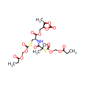 CCC(=O)OCOC(=O)SC[C@H](NC(=O)C(C)(C)SC(=O)OCOC(=O)CC)C(=O)OCc1oc(=O)oc1C